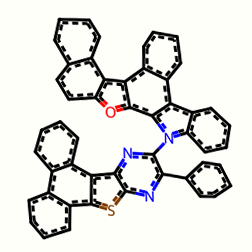 c1ccc(-c2nc3sc4c5ccccc5c5ccccc5c4c3nc2-n2c3ccccc3c3c4ccccc4c4c(oc5ccc6ccccc6c54)c32)cc1